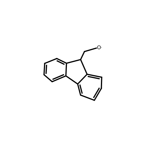 [O]CC1c2ccccc2-c2ccccc21